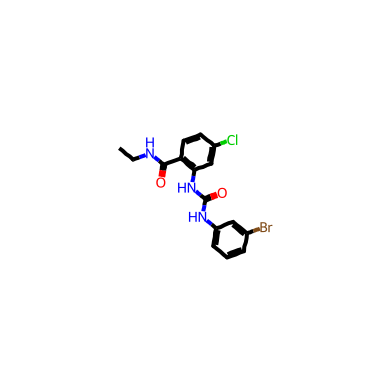 CCNC(=O)c1ccc(Cl)cc1NC(=O)Nc1cccc(Br)c1